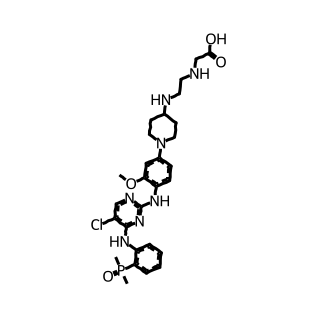 COc1cc(N2CCC(NCCNCC(=O)O)CC2)ccc1Nc1ncc(Cl)c(Nc2ccccc2P(C)(C)=O)n1